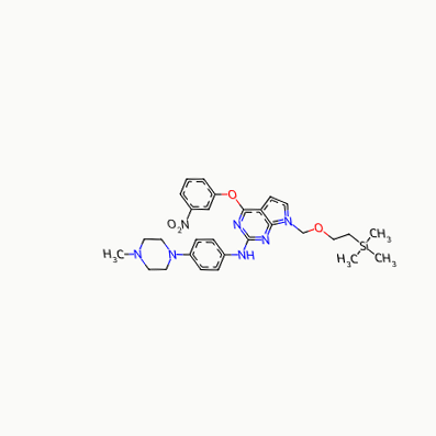 CN1CCN(c2ccc(Nc3nc(Oc4cccc([N+](=O)[O-])c4)c4ccn(COCC[Si](C)(C)C)c4n3)cc2)CC1